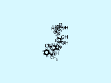 O=P(O)(O)CP(=O)(O)OC[C@H]1O[C@@H](n2ncc3c(N[C@H](c4ccccc4)C(F)(F)F)nc(Cl)nc32)[C@H](O)[C@@H]1O